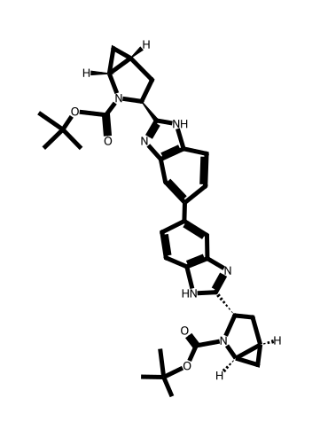 CC(C)(C)OC(=O)N1[C@@H]2C[C@@H]2C[C@H]1c1nc2cc(-c3ccc4[nH]c([C@@H]5C[C@H]6C[C@H]6N5C(=O)OC(C)(C)C)nc4c3)ccc2[nH]1